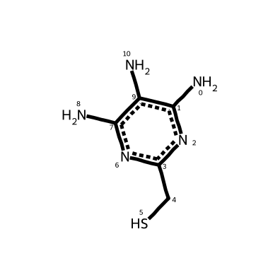 Nc1nc(CS)nc(N)c1N